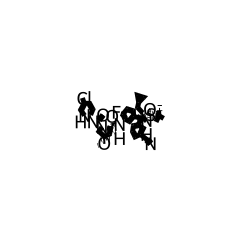 CO[C@@H]1C[C@H](C(=O)Nc2cc([C@](CCC3CC3)(N[S@+]([O-])C(C)(C)C)c3cccc(C#N)c3)ccc2F)N(C(=O)Nc2ccc(Cl)cn2)C1